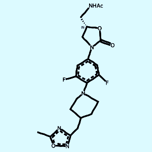 CC(=O)NC[C@H]1CN(c2cc(F)c(N3CCC(Cc4noc(C)n4)CC3)c(F)c2)C(=O)O1